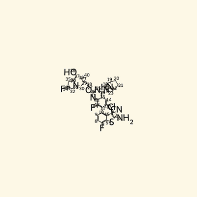 N#Cc1c(N)sc2c(F)ccc(-c3c(Cl)cc4c(N5CC6CCC(C5)N6)nc(OCC5(CN6C[C@H](F)C[C@H]6CO)CC5)nc4c3F)c12